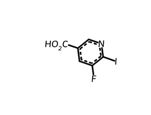 O=C(O)c1cnc(I)c(F)c1